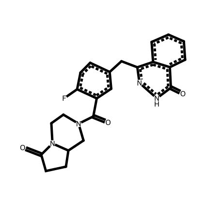 O=C(c1cc(Cc2n[nH]c(=O)c3ccccc23)ccc1F)N1CCN2C(=O)CCC2C1